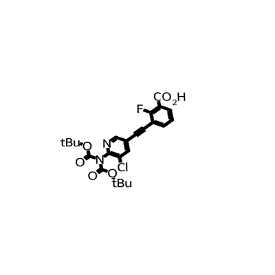 CC(C)(C)OC(=O)N(C(=O)OC(C)(C)C)c1ncc(C#Cc2cccc(C(=O)O)c2F)cc1Cl